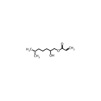 C=CC(=O)OCC(O)CCCN(C)C